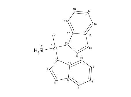 [CH3][Zr]([SiH3])([CH]1C=Cc2ccccc21)[CH]1C=Cc2ccccc21